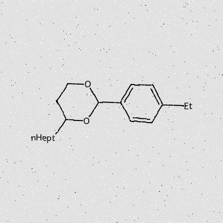 CCCCCCCC1CCOC(c2ccc(CC)cc2)O1